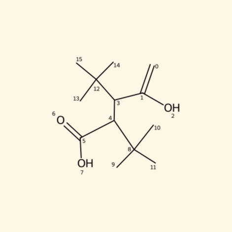 C=C(O)C(C(C(=O)O)C(C)(C)C)C(C)(C)C